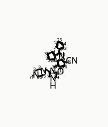 CN1CCN(CC2CNCC(=O)N2Cc2ccc(C#N)c(N=C(c3ccccc3)c3ccccc3)c2)CC1